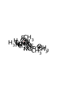 Cc1cc(-n2nc3c(c2-n2ccn(-c4ccc5c(cnn5C)c4F)c2=O)[C@H](C)N(C(=O)c2sc4cc(C5CCOC(C)(C)C5)ccc4c2C2(C#N)CC2C)CC3)cc(C)c1F